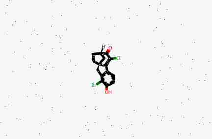 O=C1C(Cl)=C2c3ccc(O)c(Br)c3C[C@]23CC[C@H]1C3